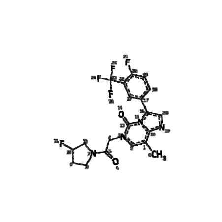 Cc1cn(CC(=O)N2CCC(F)C2)c(=O)n2c(-c3ccc(F)c(C(F)(F)F)c3)cnc12